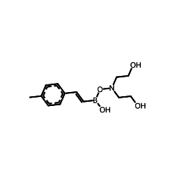 Cc1ccc(C=CB(O)ON(CCO)CCO)cc1